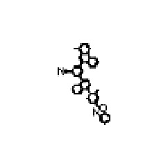 CC1CC=Cc2c1cc(-c1cc(C#N)cc(-c3ccc(C4C=CC(c5nc6ccccc6o5)=CC4C)c4ccccc34)c1)c1ccccc21